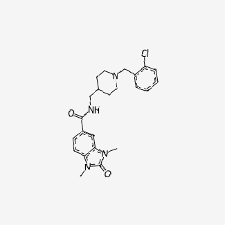 Cn1c(=O)n(C)c2cc(C(=O)NCC3CCN(Cc4ccccc4Cl)CC3)ccc21